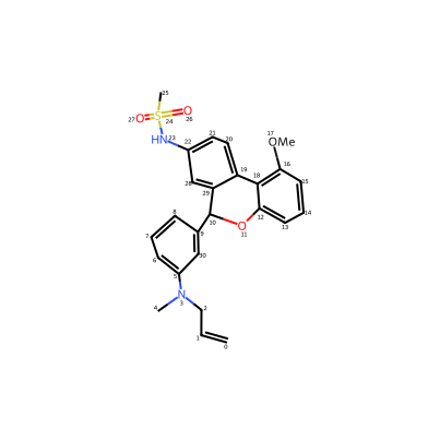 C=CCN(C)c1cccc(C2Oc3cccc(OC)c3-c3ccc(NS(C)(=O)=O)cc32)c1